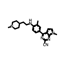 Cc1cc(-c2nc(C#N)nc3c2ccn3C)ccc1NCCC1CCN(C)CC1